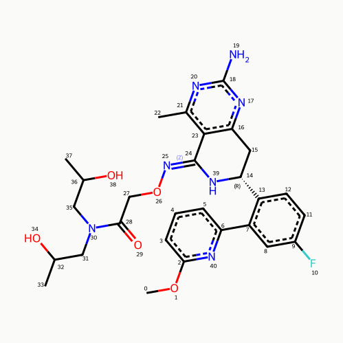 COc1cccc(-c2cc(F)ccc2[C@H]2Cc3nc(N)nc(C)c3/C(=N/OCC(=O)N(CC(C)O)CC(C)O)N2)n1